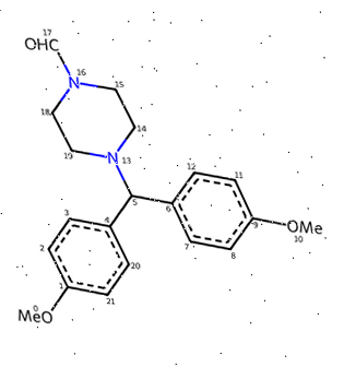 COc1ccc(C(c2ccc(OC)cc2)N2CCN(C=O)CC2)cc1